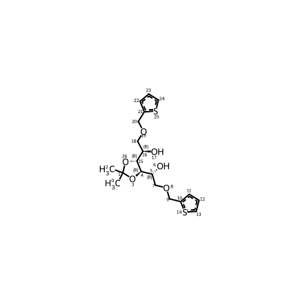 CC1(C)O[C@H]([C@H](O)COCc2cccs2)[C@@H]([C@H](O)COCc2cccs2)O1